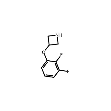 Fc1cccc(OC2CNC2)c1F